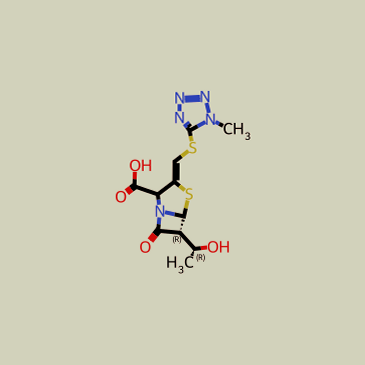 C[C@@H](O)[C@@H]1C(=O)N2C(C(=O)O)C(=CSc3nnnn3C)SC12